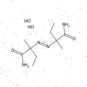 CCC(C)(/N=N/C(C)(CC)C(N)=O)C(N)=O.Cl.Cl